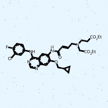 CCOC(=O)CCN(CC=CC(=O)[AsH]c1cc2c(Nc3ccc(F)c(Cl)c3)ncnc2cc1OCC1CC1)CC(=O)OCC